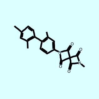 Cc1ccc(-c2ccc(N3C(=O)C4(C(=O)N(C)C4=O)C3=O)cc2C)c(C)c1